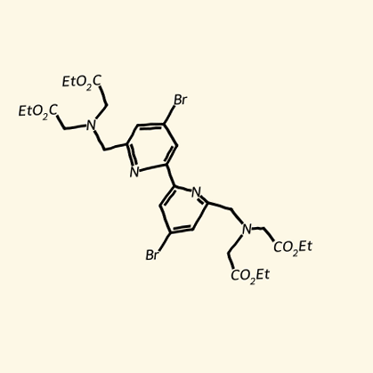 CCOC(=O)CN(CC(=O)OCC)Cc1cc(Br)cc(-c2cc(Br)cc(CN(CC(=O)OCC)CC(=O)OCC)n2)n1